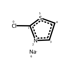 Clc1nccs1.[Na]